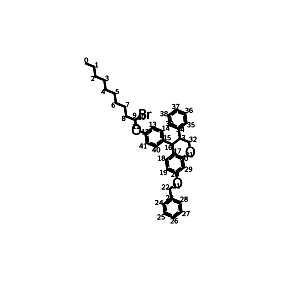 CCCCCCCCCC(Br)Oc1ccc(C2c3ccc(OCc4ccccc4)cc3OCC2c2ccccc2)cc1